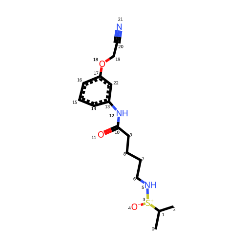 CC(C)[S+]([O-])NCCCCC(=O)Nc1cccc(OCC#N)c1